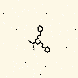 N#CC(C#N)=C1C=C(C=Cc2ccccc2)OC(C=Cc2ccccc2)=C1